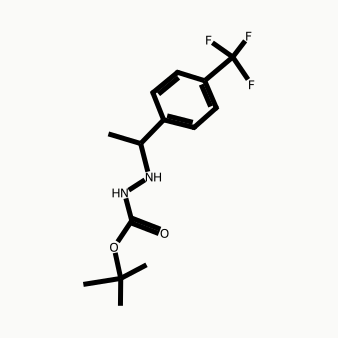 CC(NNC(=O)OC(C)(C)C)c1ccc(C(F)(F)F)cc1